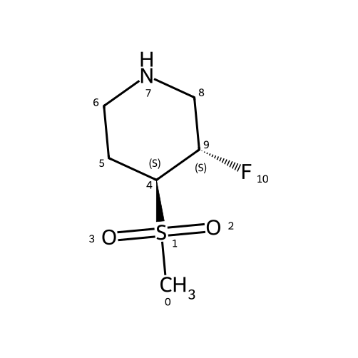 CS(=O)(=O)[C@H]1CCNC[C@@H]1F